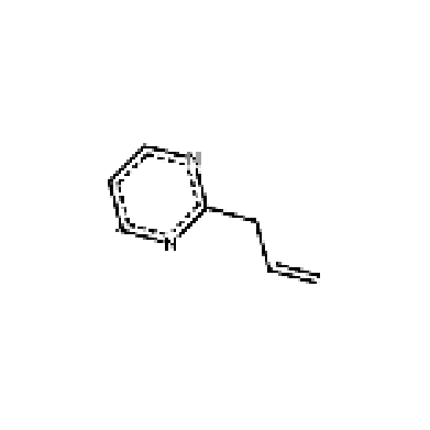 C=CCc1n[c]ccn1